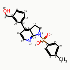 Cc1ccc(S(=O)(=O)N2CCc3c(-c4cccc(CO)c4)ccnc32)cc1